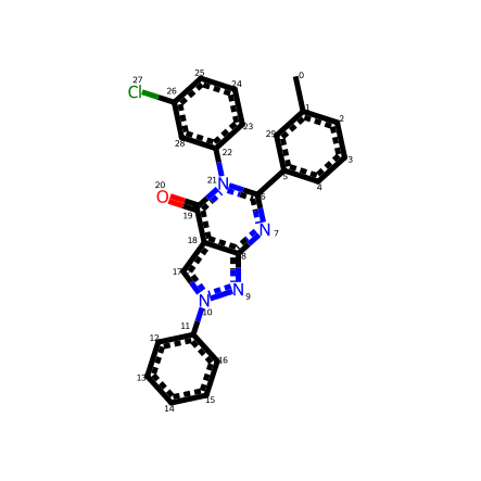 Cc1cccc(-c2nc3nn(-c4ccccc4)cc3c(=O)n2-c2cccc(Cl)c2)c1